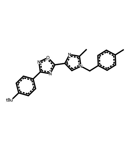 Cc1ccc(Cn2cc(-c3nc(-c4ccc(C(C)(C)C)cc4)no3)nc2C)cc1